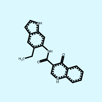 CCc1cc2cc[nH]c2cc1NC(=O)c1c[nH]c2ccccc2c1=O